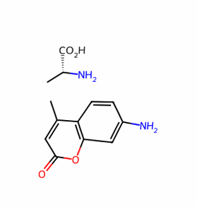 C[C@@H](N)C(=O)O.Cc1cc(=O)oc2cc(N)ccc12